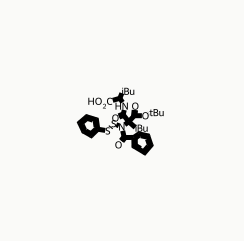 CCC(C)C(NC(=O)C(C(=O)OC(C)(C)C)(C(C)CC)N(SSc1ccccc1)C(=O)c1ccccc1)C(=O)O